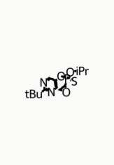 CC(C)OP(=S)(Oc1cnc(C(C)(C)C)nc1)C1CO1